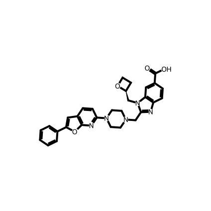 O=C(O)c1ccc2nc(CN3CCN(c4ccc5cc(-c6ccccc6)oc5n4)CC3)n(C[C@@H]3CCO3)c2c1